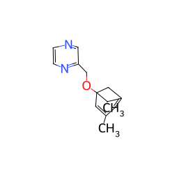 CC1=CC2(OCc3cnccn3)CC(=C1)C2C